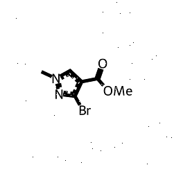 COC(=O)c1cn(C)nc1Br